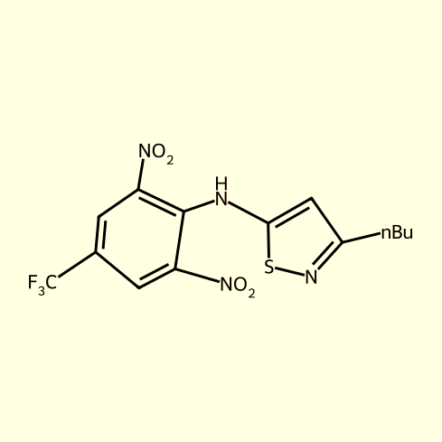 CCCCc1cc(Nc2c([N+](=O)[O-])cc(C(F)(F)F)cc2[N+](=O)[O-])sn1